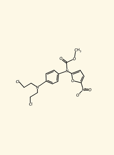 COC(=O)N(c1ccc(N(CCCl)CCCl)cc1)c1ccc([N+](=O)[O-])o1